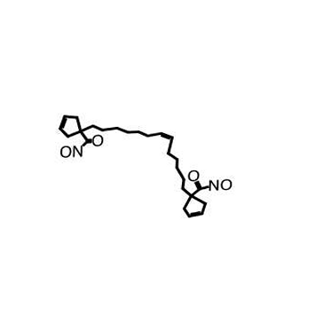 O=NC(=O)C1(CCCCC/C=C\CCCCCCC2(C(=O)N=O)CC=CC2)CC=CC1